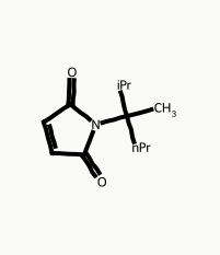 CCCC(C)(C(C)C)N1C(=O)C=CC1=O